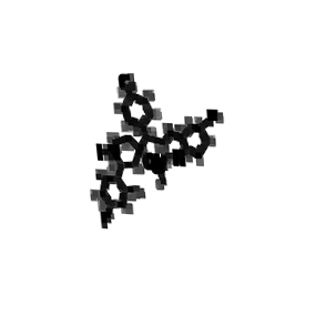 COc1nc2ccc(F)cc2cc1C(c1ccc(Cl)cc1)C1(O)CCNC(c2ccc(F)cc2C)C1